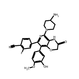 COc1ccc(-c2c(-c3ccc(C#N)c(F)c3)nc(N3CCC(N)CC3)c3c2OCC(=O)N3)cc1O